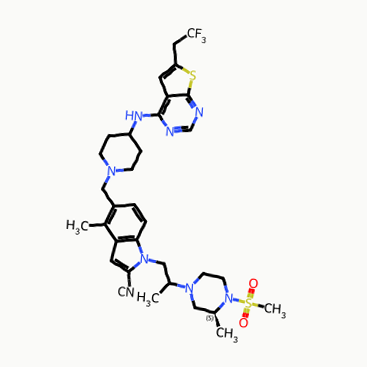 Cc1c(CN2CCC(Nc3ncnc4sc(CC(F)(F)F)cc34)CC2)ccc2c1cc(C#N)n2CC(C)N1CCN(S(C)(=O)=O)[C@@H](C)C1